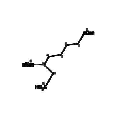 CCCCCCCCCCCCCCC(CCCCCCCCC)CC(=O)O